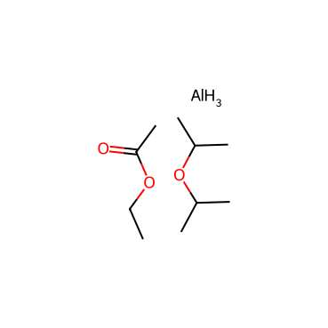 CC(C)OC(C)C.CCOC(C)=O.[AlH3]